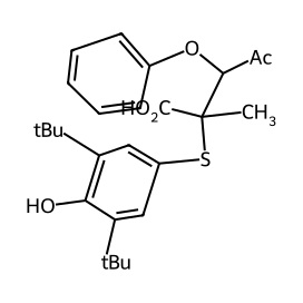 CC(=O)C(Oc1ccccc1)C(C)(Sc1cc(C(C)(C)C)c(O)c(C(C)(C)C)c1)C(=O)O